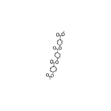 COC(=O)c1ccc(OC(=O)c2ccc(OC(=O)c3ccc(OC(C)=O)cc3)cc2)cc1